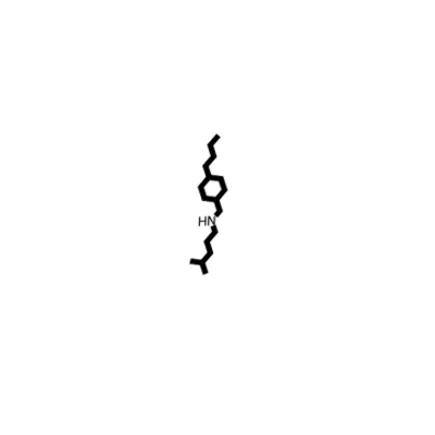 CCCCC1CCC(CNCCCC(C)C)CC1